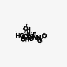 Cc1ccc(C[C@H](NC(=O)[C@@](C)(F)C(=O)NCc2cccc(-c3ccccc3)n2)OB(O)O)cc1